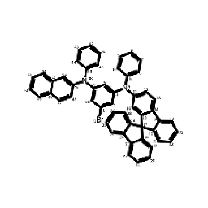 Brc1cc(N(c2ccccc2)c2ccc3c(c2)C2(c4ccccc4-c4ccccc42)c2ccccc2-3)cc(N(c2ccccc2)c2ccc3ccccc3c2)c1